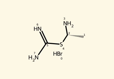 Br.C[C@@H](N)SC(=N)N